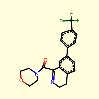 O=C(C1=NCCc2ccc(-c3ccc(C(F)(F)F)cc3)cc21)N1CCOCC1